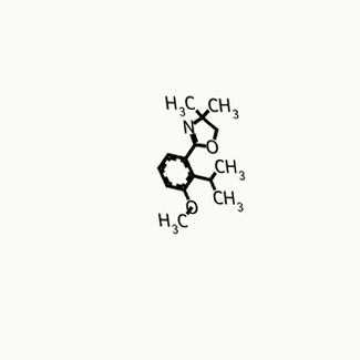 COc1cccc(C2=NC(C)(C)CO2)c1C(C)C